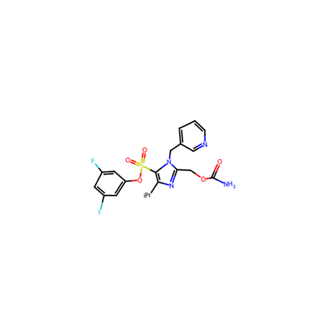 CC(C)c1nc(COC(N)=O)n(Cc2cccnc2)c1S(=O)(=O)Oc1cc(F)cc(F)c1